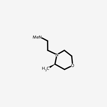 CNCCN1CCOC[C@H]1C